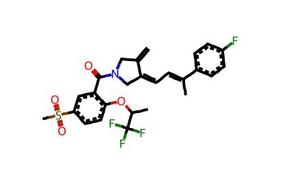 C=C1CN(C(=O)c2cc(S(C)(=O)=O)ccc2OC(C)C(F)(F)F)C/C1=C/C=C(\C)c1ccc(F)cc1